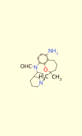 CC1(C)CCCc2c(N)ccc(N(C=O)C3CCN4CCCC3C4)c2O1